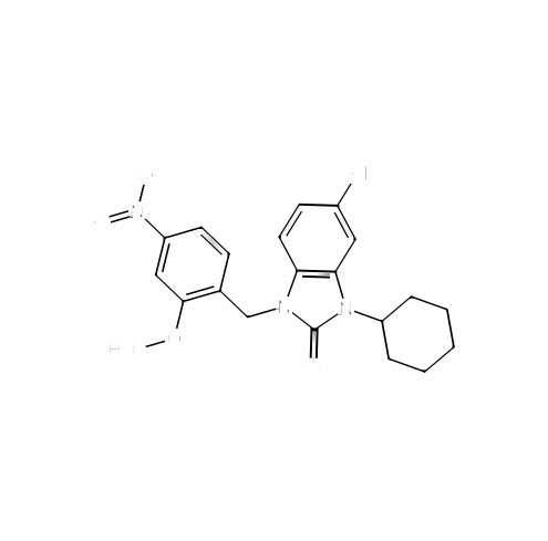 COc1cc([N+](=O)[O-])ccc1Cn1c(=O)n(C2CCCCC2)c2cc(Cl)ccc21